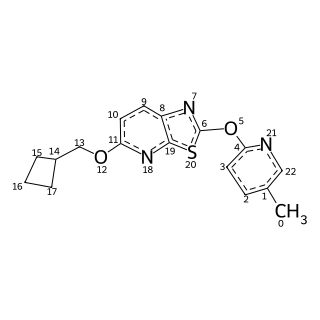 Cc1ccc(Oc2nc3ccc(OCC4CCC4)nc3s2)nc1